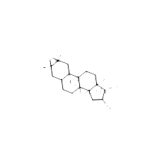 C[C@]12CC[C@H]3[C@@H](CCC4C[C@@H]5O[C@@H]5C[C@@]43C)[C@@H]1CC(N)[C@@H]2O